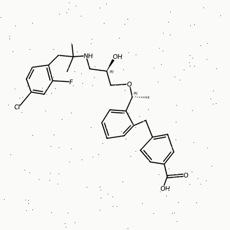 C[C@@H](OC[C@H](O)CNC(C)(C)Cc1ccc(Cl)cc1F)c1ccccc1Cc1ccc(C(=O)O)cc1